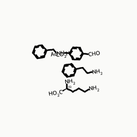 CC(=O)Nc1ccc(C=O)cc1.NCCC[C@H](N)C(=O)O.NCCc1ccccc1.O=C(O)Cc1ccccc1